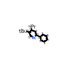 CC(C)c1cc(-c2ccccc2)ncc1C(C)(C)C